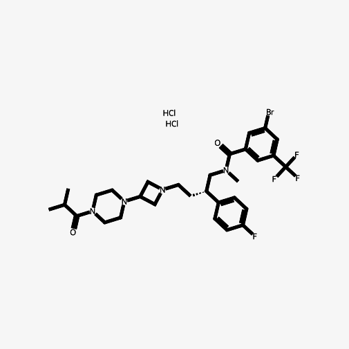 CC(C)C(=O)N1CCN(C2CN(CC[C@H](CN(C)C(=O)c3cc(Br)cc(C(F)(F)F)c3)c3ccc(F)cc3)C2)CC1.Cl.Cl